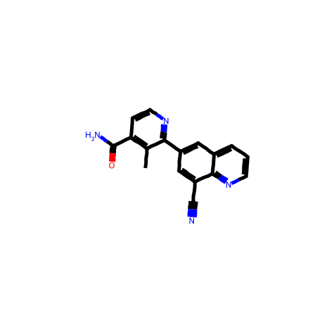 Cc1c(C(N)=O)ccnc1-c1cc(C#N)c2ncccc2c1